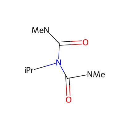 CNC(=O)N(C(=O)NC)C(C)C